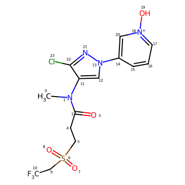 CN(C(=O)CCS(=O)(=O)CC(F)(F)F)c1cn(-c2ccc[n+](O)c2)nc1Cl